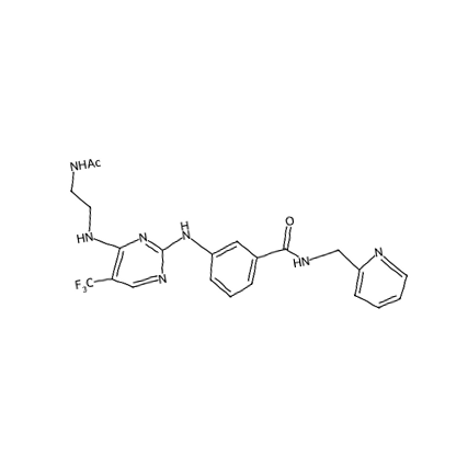 CC(=O)NCCNc1nc(Nc2cccc(C(=O)NCc3ccccn3)c2)ncc1C(F)(F)F